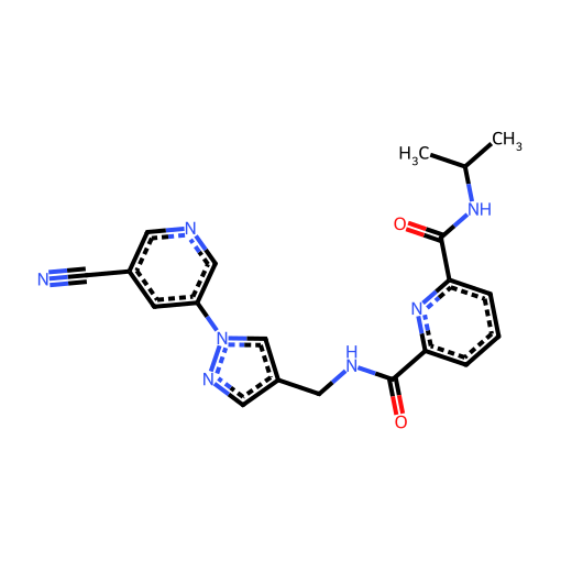 CC(C)NC(=O)c1cccc(C(=O)NCc2cnn(-c3cncc(C#N)c3)c2)n1